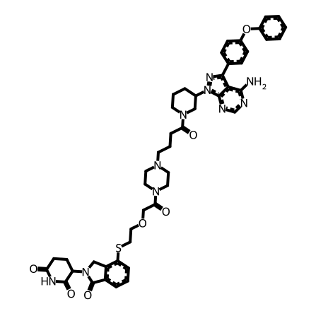 Nc1ncnc2c1c(-c1ccc(Oc3ccccc3)cc1)nn2C1CCCN(C(=O)CCCN2CCN(C(=O)COCCSc3cccc4c3CN(C3CCC(=O)NC3=O)C4=O)CC2)C1